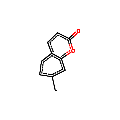 [CH2]c1ccc2ccc(=O)oc2c1